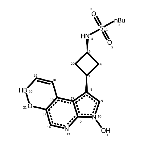 CCCCS(=O)(=O)N[C@H]1C[C@@H](c2cn(O)c3ncc4c(c32)C=CBO4)C1